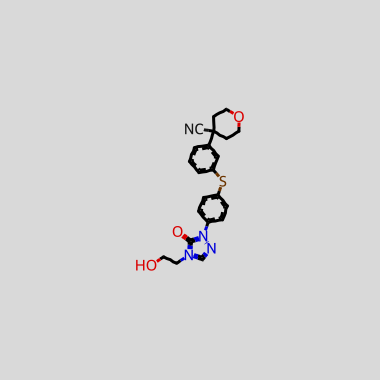 N#CC1(c2cccc(Sc3ccc(-n4ncn(CCO)c4=O)cc3)c2)CCOCC1